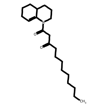 CCCCCCCCCC(=O)CC(=O)N1CCCC2CCCC=C21